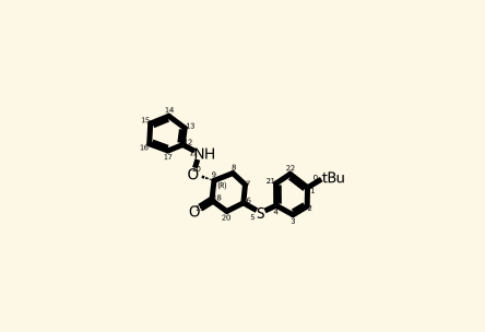 CC(C)(C)c1ccc(SC2CC[C@@H](ONc3ccccc3)C(=O)C2)cc1